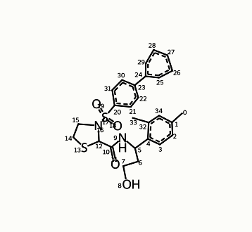 Cc1ccc(C(CCO)NC(=O)C2SCCN2S(=O)(=O)c2ccc(-c3ccccc3)cc2)c(C)c1